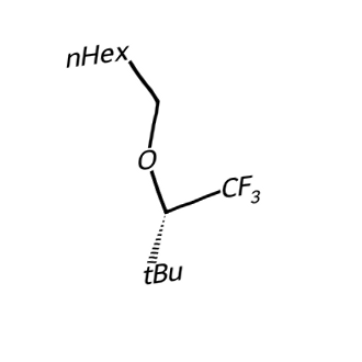 CCCCCCCO[C@@H](C(C)(C)C)C(F)(F)F